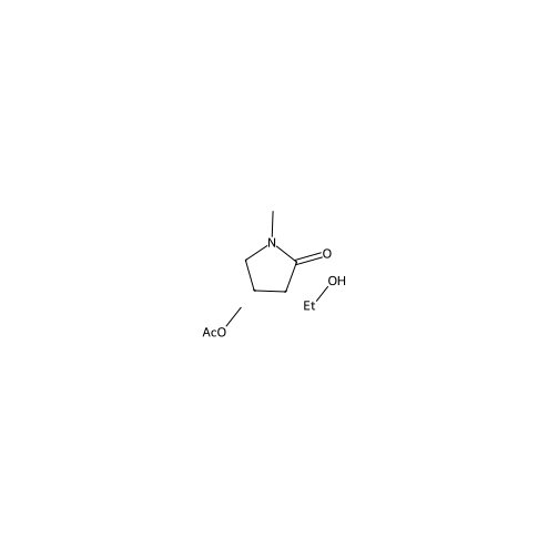 CCO.CN1CCCC1=O.COC(C)=O